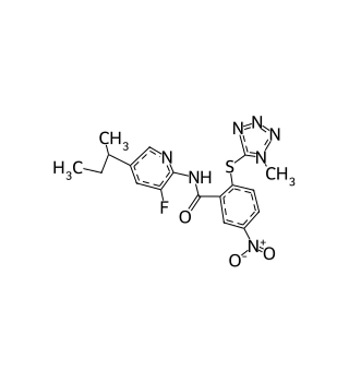 CCC(C)c1cnc(NC(=O)c2cc([N+](=O)[O-])ccc2Sc2nnnn2C)c(F)c1